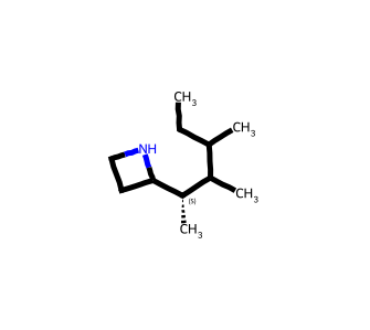 CCC(C)C(C)[C@H](C)C1CCN1